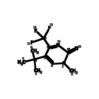 Cn1cc(C(C)(C)C)c(C(F)(F)F)nc1=O